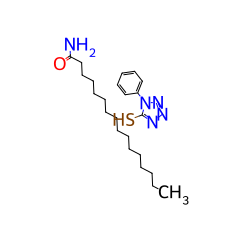 CCCCCCCCCCCCCCCC(N)=O.Sc1nnnn1-c1ccccc1